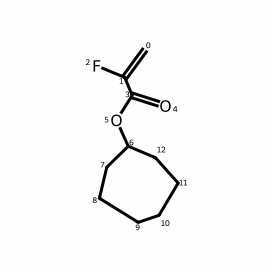 C=C(F)C(=O)OC1CCCCCC1